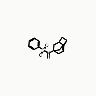 O=S(=O)(NC12CC=C3C(CC3C1)C2)c1ccccc1